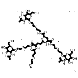 C=C(C)NC1C(OCCOCCNC(=O)C(CCC(=O)NCCOCCOC2OC(CO)C(O)C(O)C2NC(C)=O)NC(=O)CCC(NC(=O)CCOCCOC)C(=O)NCCOCCOC2OC(CO)C(O)C(O)C2NC(C)=O)OC(CO)C(O)C1O